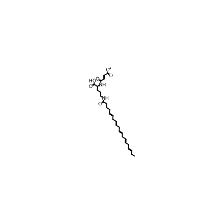 CCC=CCC=CCC=CCC=CCC=CCCCC(=O)NCCCC(NC(=O)C=CC(=O)OC)C(=O)O